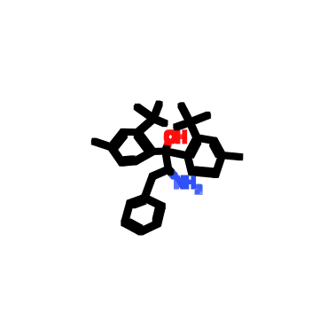 Cc1ccc(C(O)(c2ccc(C)cc2C(C)(C)C)C(N)Cc2ccccc2)c(C(C)(C)C)c1